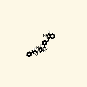 CC(C)(C(=O)C(=O)N1C[C@@H]2C[C@H]1CN2C(=O)c1cc(Cc2n[nH]c(=O)c3c2CCCC3)ccc1F)c1ccccc1